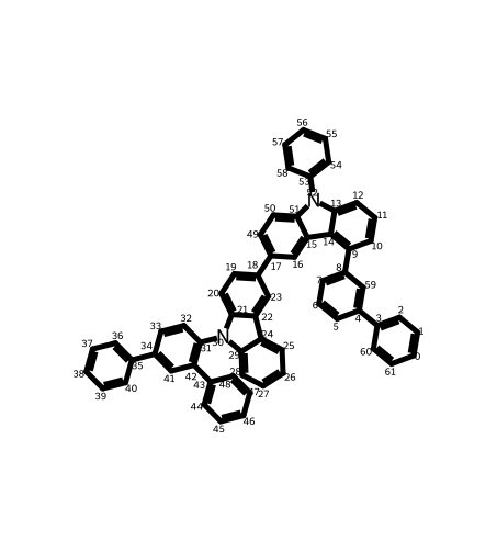 c1ccc(-c2cccc(-c3cccc4c3c3cc(-c5ccc6c(c5)c5ccccc5n6-c5ccc(-c6ccccc6)cc5-c5ccccc5)ccc3n4-c3ccccc3)c2)cc1